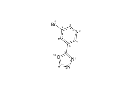 Brc1cncc(-c2nnco2)c1